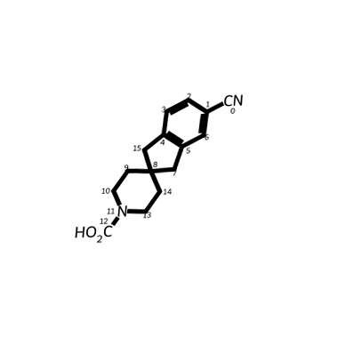 N#Cc1ccc2c(c1)CC1(CCN(C(=O)O)CC1)C2